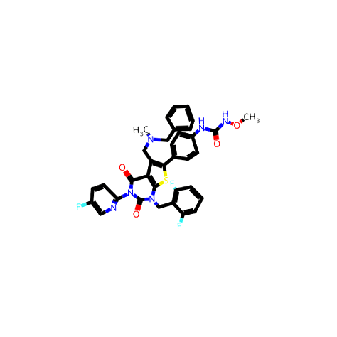 CONC(=O)Nc1ccc(-c2sc3c(c2CN(C)Cc2ccccc2)c(=O)n(-c2ccc(F)cn2)c(=O)n3Cc2c(F)cccc2F)cc1